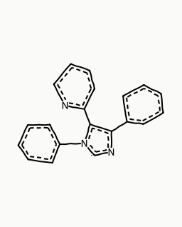 [c]1nc(-c2ccccc2)c(-c2ccccn2)n1-c1ccccc1